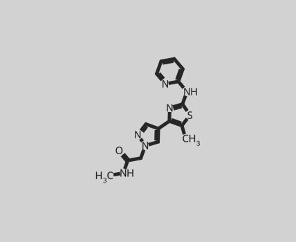 CNC(=O)Cn1cc(-c2nc(Nc3ccccn3)sc2C)cn1